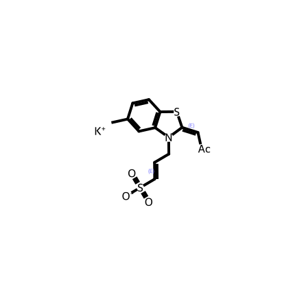 CC(=O)/C=C1/Sc2ccc(C)cc2N1C/C=C/S(=O)(=O)[O-].[K+]